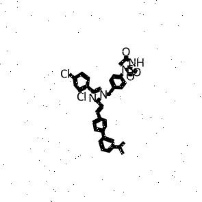 CC(C)c1cccc(-c2ccc(C=Cc3nc(-c4ccc(Cl)cc4Cl)cn3Cc3ccc(N4CC(=O)NS4(=O)=O)cc3)cc2)c1